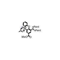 CCCCCN(CCCCC)c1cc(C(=O)OC)cc(S(=O)(=O)/N=C\N(C)C)c1Oc1ccccc1